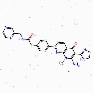 CCn1c(N)c(-c2ncc[nH]2)c(=O)c2ccc(-c3ccc(CC(=O)NCc4cnccn4)cc3)nc21